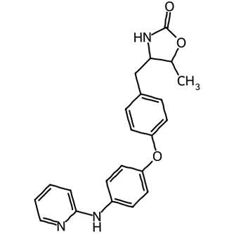 CC1OC(=O)NC1Cc1ccc(Oc2ccc(Nc3ccccn3)cc2)cc1